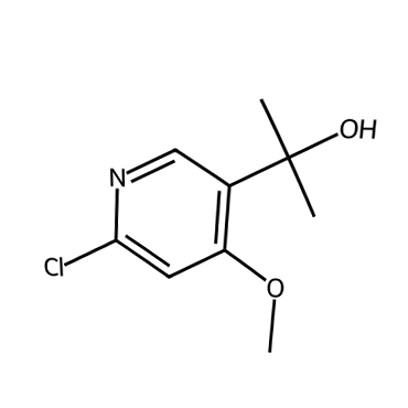 COc1cc(Cl)ncc1C(C)(C)O